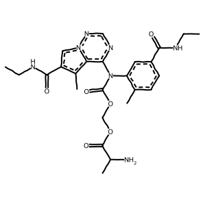 CCNC(=O)c1ccc(C)c(N(C(=O)OCOC(=O)C(C)N)c2ncnn3cc(C(=O)NCC)c(C)c23)c1